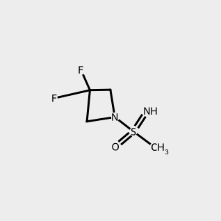 CS(=N)(=O)N1CC(F)(F)C1